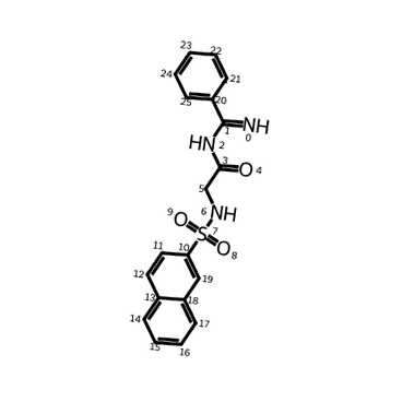 N=C(NC(=O)CNS(=O)(=O)c1ccc2ccccc2c1)c1[c]cccc1